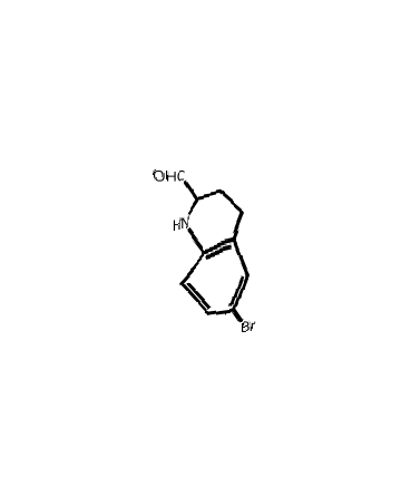 O=CC1CCc2cc(Br)ccc2N1